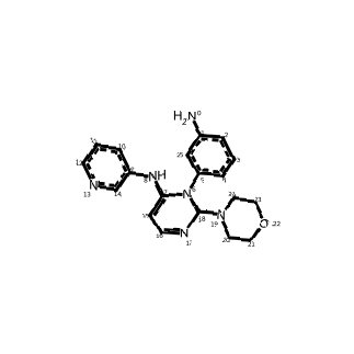 Nc1cccc(N2C(Nc3cccnc3)=CC=NC2N2CCOCC2)c1